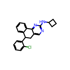 Clc1ccccc1C1Cc2cnc(NC3CCC3)nc2-c2ccccc21